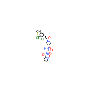 CSc1ccc(/C=C/C(=O)N2CCC(C(=O)N[C@@H](CNC(=O)c3ccccn3)C(=O)O)CC2)c(Cl)c1Cl